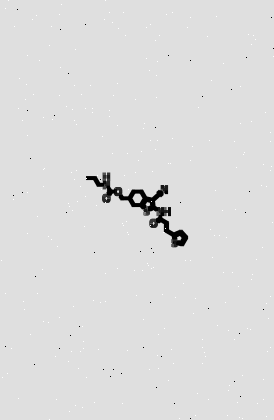 CCCNC(=O)OCC1CCc2c(sc(NC(=O)C=Cc3cccs3)c2C#N)C1